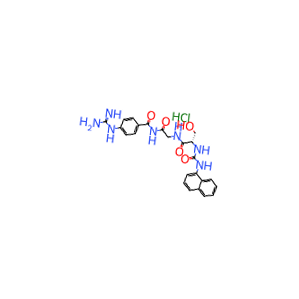 Cl.N=C(N)Nc1ccc(C(=O)NC(=O)CNC(=O)[C@H](CO)NC(=O)Nc2cccc3ccccc23)cc1